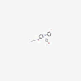 CNC(=O)C1CC(n2c(-c3cc(F)cc(OC)c3)nc3ccc(C(=O)NCCCN(C)C)cc32)C1